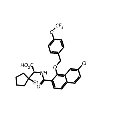 CCC1([C@H](NC(=O)c2ccc3ccc(Cl)cc3c2OCc2ccc(OC(F)(F)F)cc2)C(=O)O)CCCC1